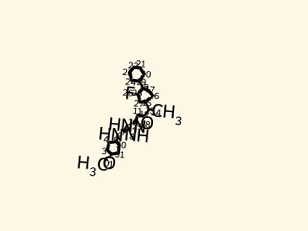 COc1ccc(NC(=N)Nc2cc(C(C)c3ccc(-c4ccccc4)c(F)c3)on2)cc1